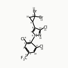 FC(F)(F)c1cc(Cl)c(-n2cc(C3CC3(Br)Br)c(Cl)n2)c(Cl)c1